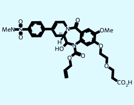 C=CCOC(=O)N1c2cc(OCCOCCC(=O)O)c(OC)cc2C(=O)N2CC=C(c3ccc(S(=O)(=O)NC)cc3)C[C@H]2C1O